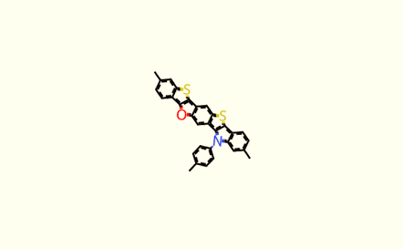 Cc1ccc(-n2c3cc(C)ccc3c3sc4cc5c(cc4c32)oc2c3ccc(C)cc3sc52)cc1